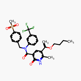 C=C(OCCCC)c1cc(C(=O)N(Cc2ccc(S(C)(=O)=O)cc2)c2cccc(C(F)(F)F)c2)c(=O)[nH]c1C